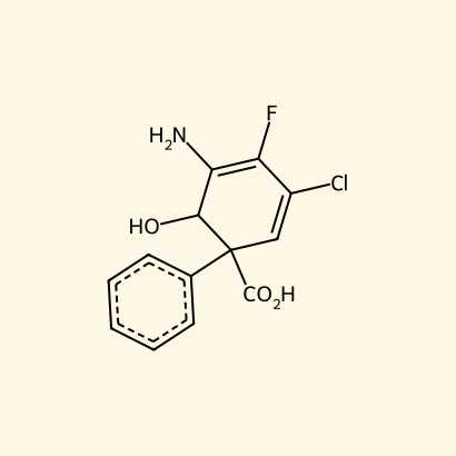 NC1=C(F)C(Cl)=CC(C(=O)O)(c2ccccc2)C1O